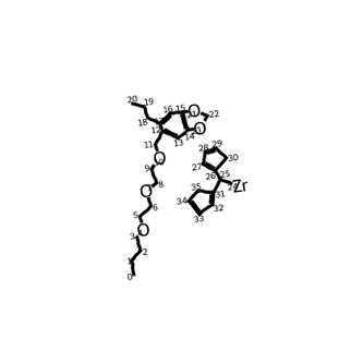 CCCCOCCOCCOCc1cc2c(cc1CCC)OCO2.[Zr][CH](C1=CC=CC1)C1=CC=CC1